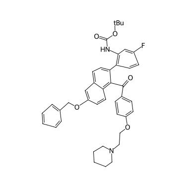 CC(C)(C)OC(=O)Nc1cc(F)ccc1-c1ccc2cc(OCc3ccccc3)ccc2c1C(=O)c1ccc(OCCN2CCCCC2)cc1